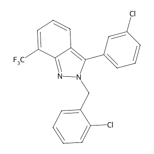 FC(F)(F)c1cccc2c(-c3cccc(Cl)c3)n(Cc3ccccc3Cl)nc12